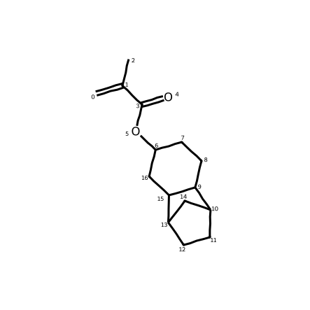 C=C(C)C(=O)OC1CCC2C3CCC(C3)C2C1